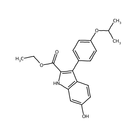 CCOC(=O)c1[nH]c2cc(O)ccc2c1-c1ccc(OC(C)C)cc1